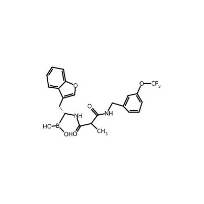 CC(C(=O)NCc1cccc(OC(F)(F)F)c1)C(=O)N[C@@H](Cc1coc2ccccc12)B(O)O